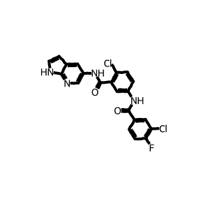 O=C(Nc1ccc(Cl)c(C(=O)Nc2cnc3[nH]ccc3c2)c1)c1ccc(F)c(Cl)c1